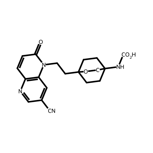 N#Cc1cnc2ccc(=O)n(CCC34CCC(NC(=O)O)(CC3)CO4)c2c1